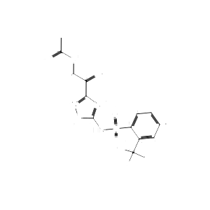 CC(=O)SCC(=O)c1noc(NS(=O)(=O)c2ccccc2C(F)(F)F)n1